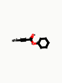 CCCC#CC(=O)OC1CCCCC1